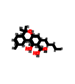 CCCCCC1C=C2OC(C)(C)C3=CC=C(C)CC3C2=C(O)C1C(=O)O